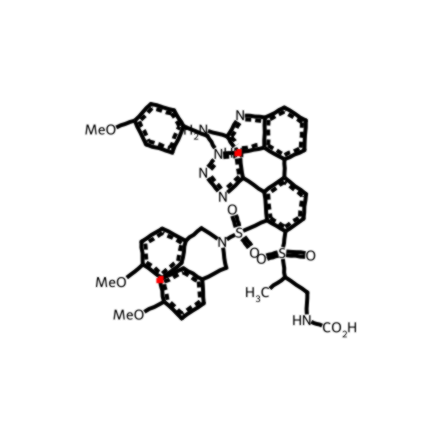 COc1ccc(CN(Cc2ccc(OC)cc2)S(=O)(=O)c2c(S(=O)(=O)C(C)CNC(=O)O)ccc(-c3cccc4nc(N)[nH]c34)c2-c2nnn(Cc3ccc(OC)cc3)n2)cc1